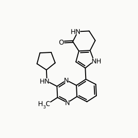 Cc1nc2cccc(-c3cc4c([nH]3)CCNC4=O)c2nc1NC1CCCC1